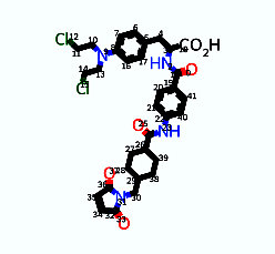 O=C(NC(Cc1ccc(N(CCCl)CCCl)cc1)C(=O)O)c1ccc(NC(=O)C2CCC(CN3C(=O)C=CC3=O)CC2)cc1